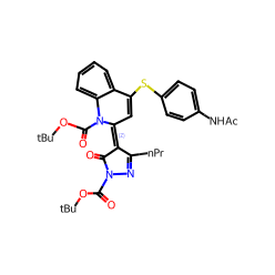 CCCC1=NN(C(=O)OC(C)(C)C)C(=O)/C1=C1/C=C(Sc2ccc(NC(C)=O)cc2)c2ccccc2N1C(=O)OC(C)(C)C